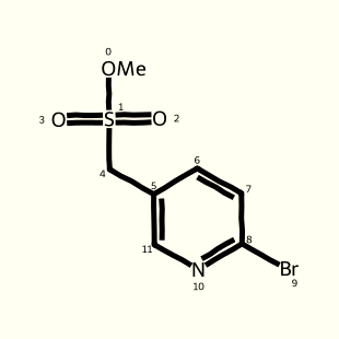 COS(=O)(=O)Cc1ccc(Br)nc1